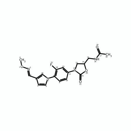 CON=Cc1ccn(-c2ccc(N3CC(CNC(C)=O)OC3=O)cc2F)c1